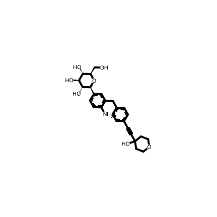 Nc1ccc([C@@H]2O[C@H](CO)[C@@H](O)[C@H](O)[C@H]2O)cc1Cc1ccc(C#CC2(O)CCOCC2)cc1